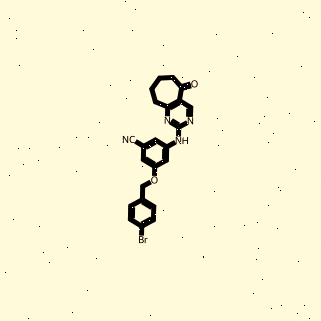 N#Cc1cc(Nc2ncc3c(n2)CCCCC3=O)cc(OCc2ccc(Br)cc2)c1